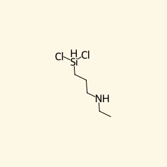 CCNCCC[SiH](Cl)Cl